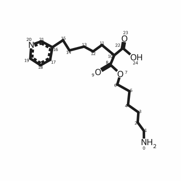 NCCCCCCOC(=O)C(CCCCCc1cccnc1)C(=O)O